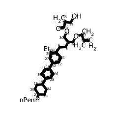 C=C(C)C(=C)OCC(CCc1ccc(-c2ccc(C3CCC(CCCCC)CC3)cc2)cc1CC)COC(=O)C(=C)CO